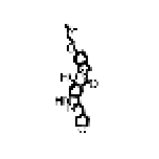 CN(C)CCOc1ccc2c(c1)CN(C(=O)c1cc3c(CC4CCOCC4)n[nH]c3cc1O)C2